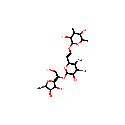 CC1OC(OC=CC2OC(O/C(CO)=C3/OC(N=O)C(O)C3O)C(O)C(N=O)C2N=O)C(O)C(C)C1O